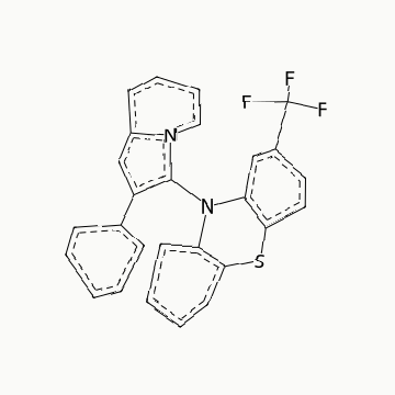 FC(F)(F)c1ccc2c(c1)N(c1c(-c3ccccc3)cc3ccccn13)c1ccccc1S2